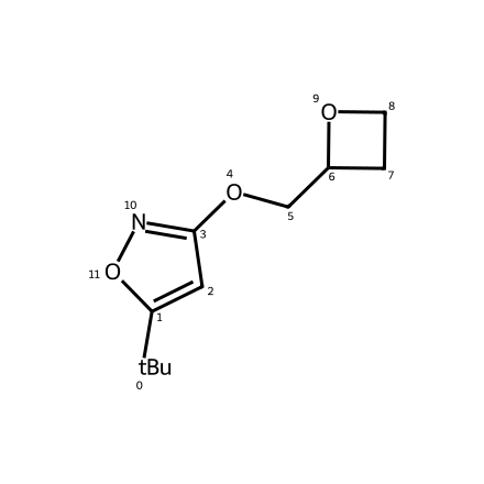 CC(C)(C)c1cc(OCC2CCO2)no1